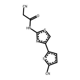 N#CCC(=O)Nc1nc(-c2ccc(C#N)s2)cs1